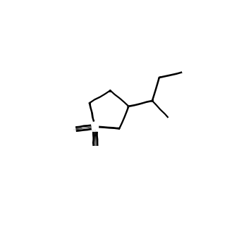 CCC(C)C1CCS(=O)(=O)C1